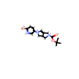 CC(C)(C)OC(=O)N1CC2=CN(c3ccc(Br)nc3)CC2C1